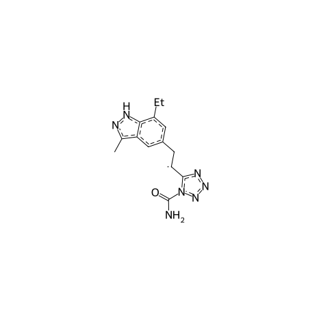 CCc1cc(C[CH]c2nnnn2C(N)=O)cc2c(C)n[nH]c12